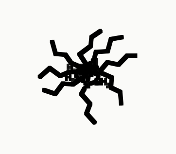 CCCC[Si]1(CCCC)[SiH2][Si]2(CCCC)[SiH2][SiH2][Si]1(CCCC)[Si](CCCC)(CCCC)[Si]2(CCCC)CCCC